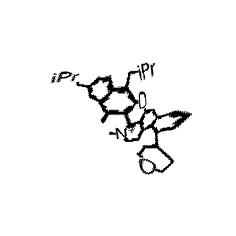 Cc1c2c(c(CC(C)C)c3ccc(CC(C)C)cc13)Oc1cc3cccc(C4CCOCC4)c3c3cc[n+](C)c-2c13